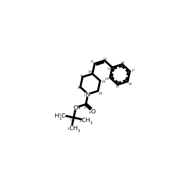 CC(C)(C)OC(=O)N1CCC(/C=C\c2ccccc2)CC1